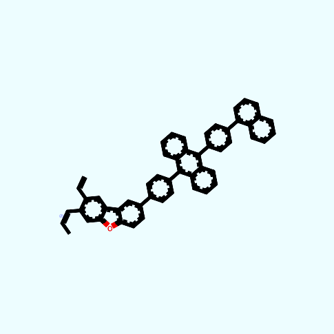 C=Cc1cc2c(cc1/C=C\C)oc1ccc(-c3ccc(-c4c5ccccc5c(-c5ccc(-c6cccc7ccccc67)cc5)c5ccccc45)cc3)cc12